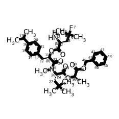 CN[C@@H](CC(C)(C)F)C(=O)O[C@H](Cc1ccc(C(C)C)cc1)C(=O)N(C)[C@@H](CC(C)(C)C)C(=O)O[C@H](C)C(=O)OCc1ccccc1